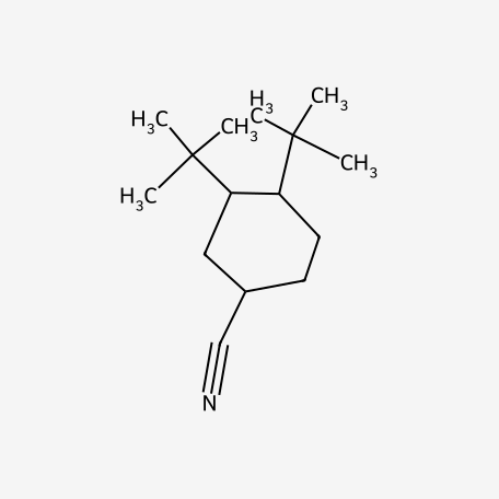 CC(C)(C)C1CCC(C#N)CC1C(C)(C)C